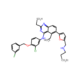 CCOC(=O)CCNCc1ccc(-c2ccc3nc(CS(=O)(=O)O)nc(Nc4ccc(OCc5cccc(F)c5)c(Cl)c4)c3c2CS(=O)(=O)O)o1